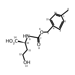 Cc1ccc(COC(=O)N[C@@H](CCO)C(=O)O)cc1